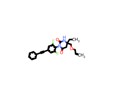 C=CCOCC1(CC)CC(=O)N(c2c(F)cc(C#Cc3ccccc3)cc2F)C(=O)N1